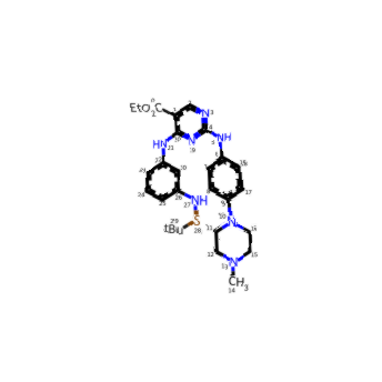 CCOC(=O)c1cnc(Nc2ccc(N3CCN(C)CC3)cc2)nc1Nc1cccc(NSC(C)(C)C)c1